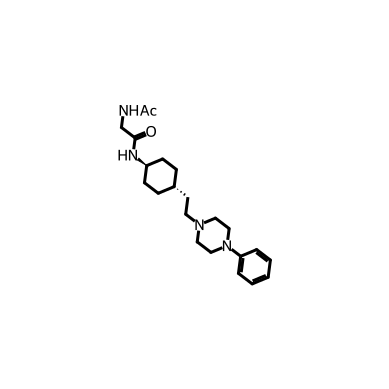 CC(=O)NCC(=O)N[C@H]1CC[C@H](CCN2CCN(c3ccccc3)CC2)CC1